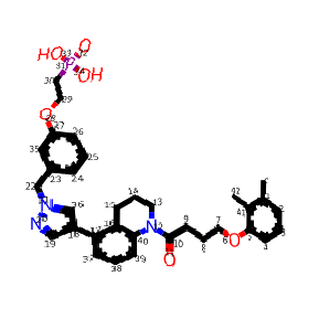 Cc1cccc(OCCCC(=O)N2CCCc3c(-c4cnn(Cc5cccc(OCCP(=O)(O)O)c5)c4)cccc32)c1C